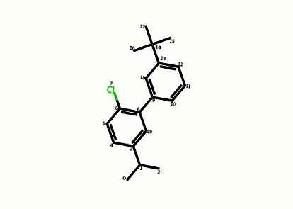 CC(C)c1ccc(Cl)c(-c2cccc(C(C)(C)C)c2)c1